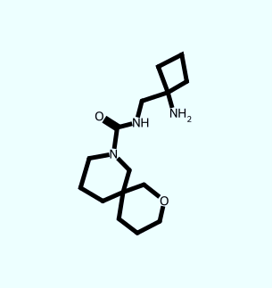 NC1(CNC(=O)N2CCCC3(CCCOC3)C2)CCC1